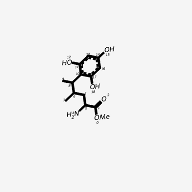 COC(=O)C(N)CC(C)C(C)c1c(O)cc(O)cc1O